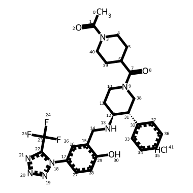 CC(=O)N1CCC(C(=O)N2CC[C@H](NCc3cc(-n4nnnc4C(F)(F)F)ccc3O)[C@@H](c3ccccc3)C2)CC1.Cl